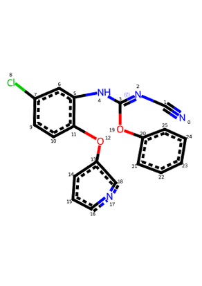 N#C/N=C(/Nc1cc(Cl)ccc1Oc1cccnc1)Oc1ccccc1